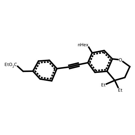 CCCCCCc1cc2c(cc1C#Cc1ccc(CC(=O)OCC)cc1)C(CC)(CC)CCO2